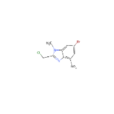 Cn1c(CCl)nc2c([N+](=O)[O-])cc(Br)cc21